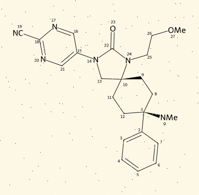 CN[C@]1(c2ccccc2)CC[C@@]2(CC1)CN(c1cnc(C#N)nc1)C(=O)N2CCOC